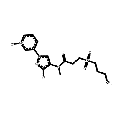 CN(C(=O)CCS(=O)(=O)CCCC(F)(F)F)c1cn(-c2ccc[n+]([O-])c2)nc1Cl